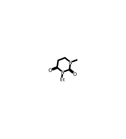 CCN1C(=O)CCN(C)C1=O